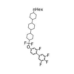 CCCCCCC1CCC(C2CCC(C3CCC(C(F)(F)Oc4ccc(-c5cc(F)c(F)c(F)c5)c(F)c4)CC3)CC2)CC1